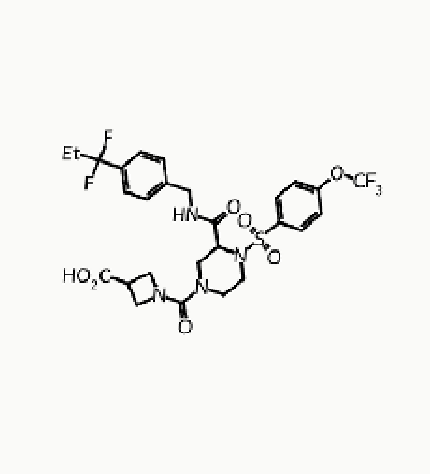 CCC(F)(F)c1ccc(CNC(=O)C2CN(C(=O)N3CC(C(=O)O)C3)CCN2S(=O)(=O)c2ccc(OC(F)(F)F)cc2)cc1